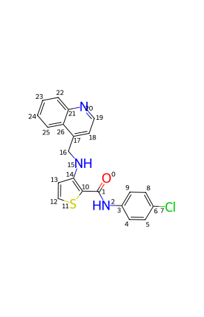 O=C(Nc1ccc(Cl)cc1)c1sccc1NCc1ccnc2ccccc12